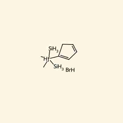 Br.[CH3][Hf]([CH3])([SiH3])([SiH3])[C]1=CC=CC1